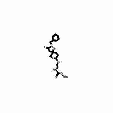 CC(C)(C)OC(=O)NCCNC1CCC(O)(CC(=O)OCc2ccccc2)CC1